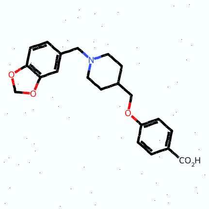 O=C(O)c1ccc(OCC2CCN(Cc3ccc4c(c3)OCO4)CC2)cc1